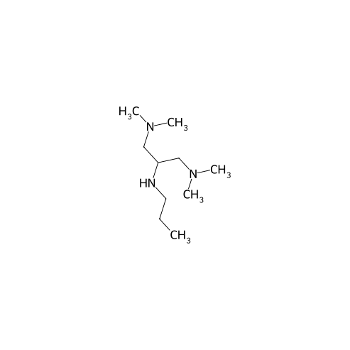 CCCNC(CN(C)C)CN(C)C